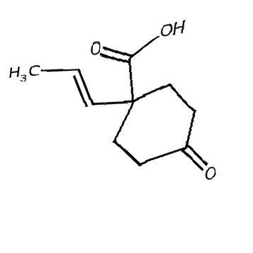 C/C=C/C1(C(=O)O)CCC(=O)CC1